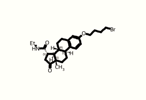 CCNC(=O)[C@H]1CC(=O)[C@@]2(C)CC[C@@H]3c4ccc(OCCCCBr)cc4CC[C@H]3[C@H]12